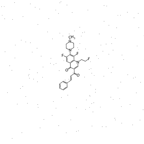 CN1CCN(c2c(F)cc3c(=O)c(C(=O)C=Cc4ccccc4)cn(CCF)c3c2F)CC1